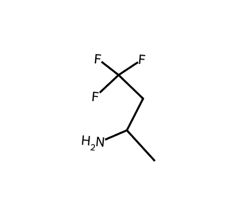 CC(N)CC(F)(F)F